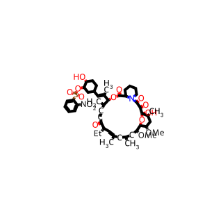 CCC1/C=C(\C)CC(C)CC(OC)C2OC(O)(C(=O)C(=O)N3CCCCC3C(=O)OC(C(C)=CC3CCC(O)C(OS(=O)(=O)c4ccccc4[N+](=O)[O-])C3)C(C)CCC1=O)C(C)CC2OC